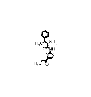 CCC(=O)c1csc(NC(=O)[C@@H](N)[C@@H](C)c2ccccc2)n1